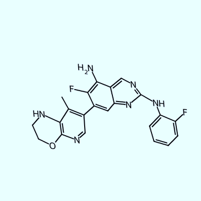 Cc1c(-c2cc3nc(Nc4ccccc4F)ncc3c(N)c2F)cnc2c1NCCO2